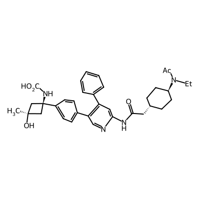 CCN(C(C)=O)[C@H]1CC[C@H](CC(=O)Nc2cc(-c3ccccc3)c(-c3ccc([C@]4(NC(=O)O)C[C@@](C)(O)C4)cc3)cn2)CC1